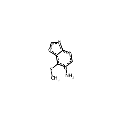 CSc1c2ncnc-2ncn1N